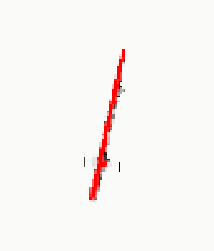 CCCCCCCCC=CCCCCCCCC(=O)CCCCCCCCCCCCCCCCCCCCCCCCCCCCCC(=O)N[C@H](CO)CCCCCCCCCCCCCCCC